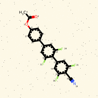 CC(=O)Oc1ccc(-c2cc(F)c(-c3cc(F)c(C#N)c(F)c3)c(F)c2)cc1